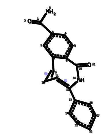 NC(=O)c1ccc2c(c1)/C=C/C=C(\c1ccccc1)NC2=O